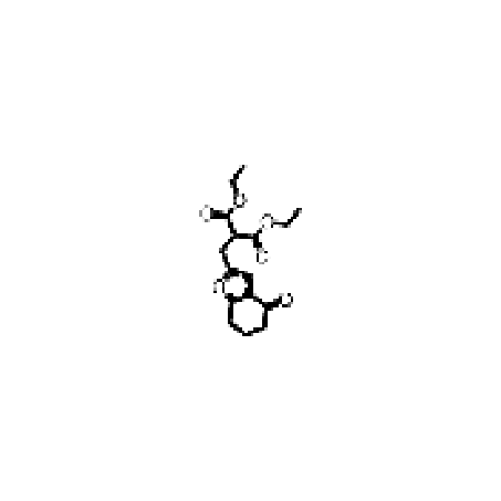 CCOC(=O)C(Cc1cc2c(o1)CCCC2=O)C(=O)OCC